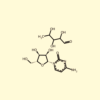 CC(O)C(O)C(O)C=O.Nc1ccn([C@@H]2O[C@H](CO)[C@@H](O)[C@H]2O)c(=O)n1